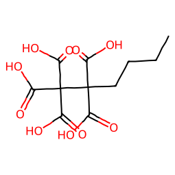 CCCCC(C(=O)O)(C(=O)O)C(C(=O)O)(C(=O)O)C(=O)O